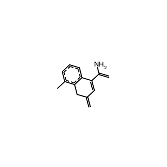 C=C1C=C(C(=C)N)c2cccc(C)c2C1